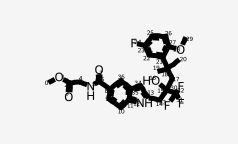 COC(=O)CNC(=O)c1ccc2[nH]c(CC(O)(CC(C)(C)c3cc(F)ccc3OC)C(F)(F)F)cc2c1